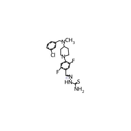 CN(Cc1cccc(Cl)c1)C1CCN(c2cc(F)c(/C=N/NC(N)=S)cc2F)CC1